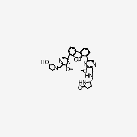 COc1nc(-c2cccc(-c3cccc(-c4cnc(CN5CC[C@H](O)C5)c(OC)n4)c3Cl)c2Cl)cnc1CNC[C@@H]1CCC(=O)N1